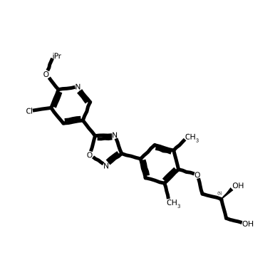 Cc1cc(-c2noc(-c3cnc(OC(C)C)c(Cl)c3)n2)cc(C)c1OC[C@@H](O)CO